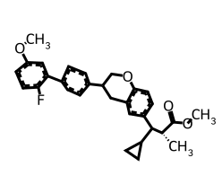 COC(=O)[C@H](C)C(c1ccc2c(c1)CC(c1ccc(-c3cc(OC)ccc3F)cc1)CO2)C1CC1